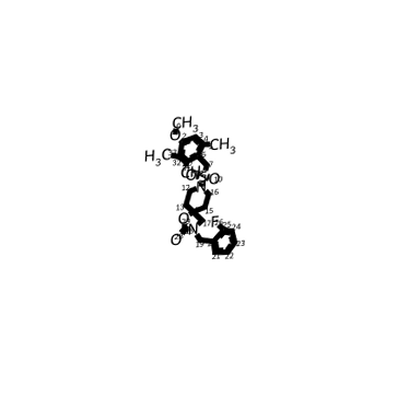 COc1cc(C)c(CS(=O)(=O)N2CCC3(CC2)CN(Cc2ccccc2F)C(=O)O3)c(C)c1C